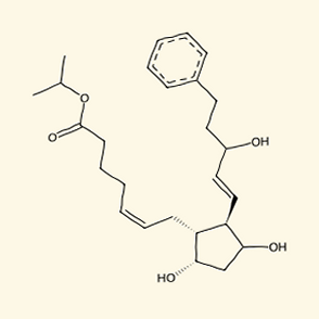 CC(C)OC(=O)CCC/C=C\C[C@H]1[C@@H](O)CC(O)[C@@H]1/C=C/C(O)CCc1ccccc1